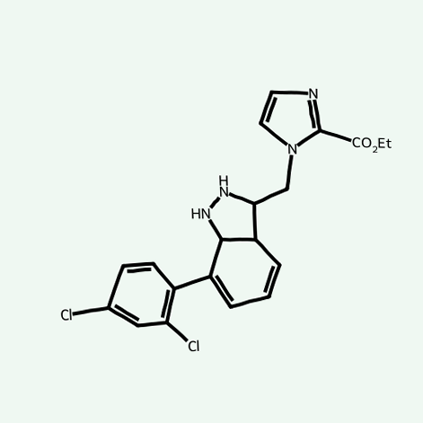 CCOC(=O)c1nccn1CC1NNC2C(c3ccc(Cl)cc3Cl)=CC=CC12